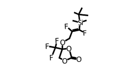 CC(C)(C)[Si](C)(C)/C(F)=C(\F)COC1(C(F)(F)F)COC(=O)O1